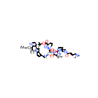 CCn1c(-c2cccnc2[C@H](C)OC)c2c3cc(ccc31)-c1csc(n1)C[C@H](NC(=O)C(C(C)C)N(C)C(=O)N1CCC13CN(C(=O)/C=C/CN(C)C)C3)C(=O)N1CCC[C@H](N1)C(=O)OCC(C)(C)C2